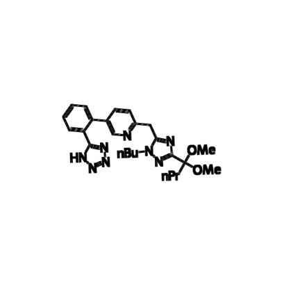 CCCCn1nc(C(CCC)(OC)OC)nc1Cc1ccc(-c2ccccc2-c2nnn[nH]2)cn1